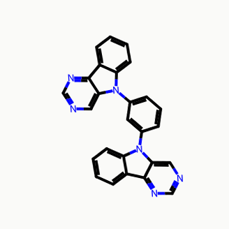 c1cc(-n2c3ccccc3c3ncncc32)cc(-n2c3ccccc3c3ncncc32)c1